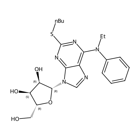 CCCCSc1nc(N(CC)c2ccccc2)c2ncn([C@@H]3O[C@H](CO)[C@@H](O)[C@H]3O)c2n1